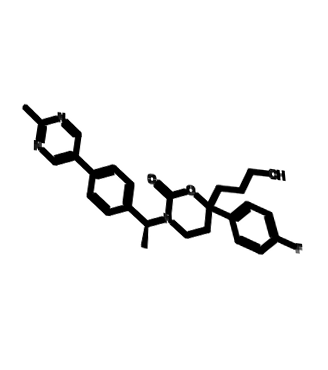 Cc1ncc(-c2ccc([C@H](C)N3CCC(CCCO)(c4ccc(F)cc4)OC3=O)cc2)cn1